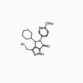 COc1ccc(N2C(=O)c3[nH]nc(CC(C)C)c3C2C2CCCCC2)cn1